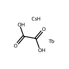 O=C(O)C(=O)O.[CsH].[Tb]